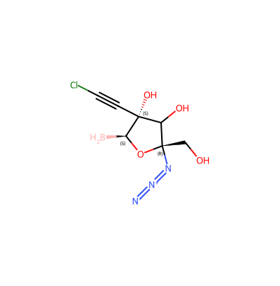 B[C@@H]1O[C@@](CO)(N=[N+]=[N-])C(O)[C@]1(O)C#CCl